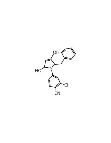 N#Cc1ccc(N2C(O)C=C(O)C2Cc2ccccc2)cc1Cl